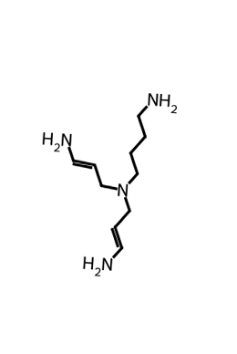 NC=CCN(CC=CN)CCCCN